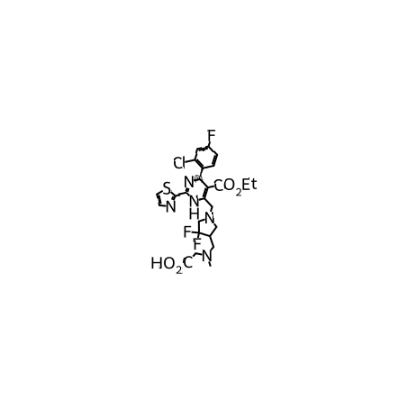 CCOC(=O)C1=C(CN2CC(CN(C)CC(=O)O)C(F)(F)C2)NC(c2nccs2)=N[C@H]1c1ccc(F)cc1Cl